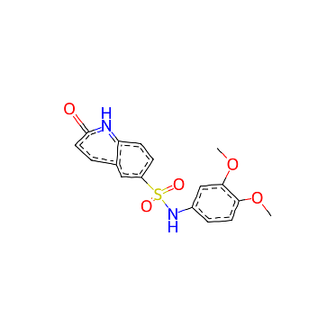 COc1ccc(NS(=O)(=O)c2ccc3[nH]c(=O)ccc3c2)cc1OC